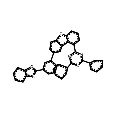 c1ccc(-c2nc(-c3ccccc3)nc(-c3cccc4oc5ccc(-c6cccc(-c7nc8ccccc8o7)c6)cc5c34)n2)cc1